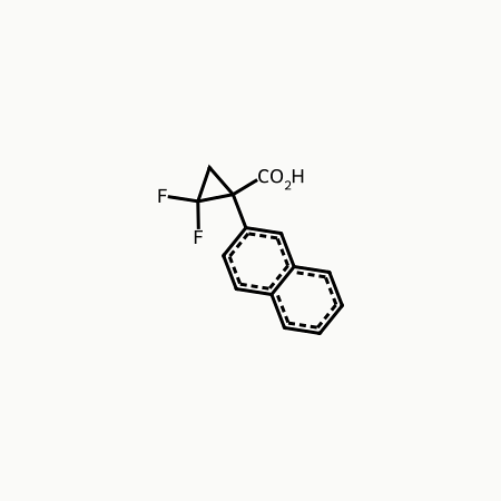 O=C(O)C1(c2ccc3ccccc3c2)CC1(F)F